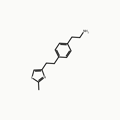 Cc1nc(CCc2ccc(CCN)cc2)cs1